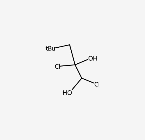 CC(C)(C)CC(O)(Cl)C(O)Cl